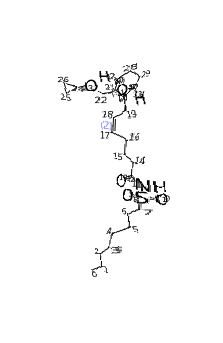 CCCCCCCCS(=O)(=O)NC(=O)CCC/C=C\C[C@H]1[C@@H](COC2CC2)[C@H]2CC[C@@H]1O2